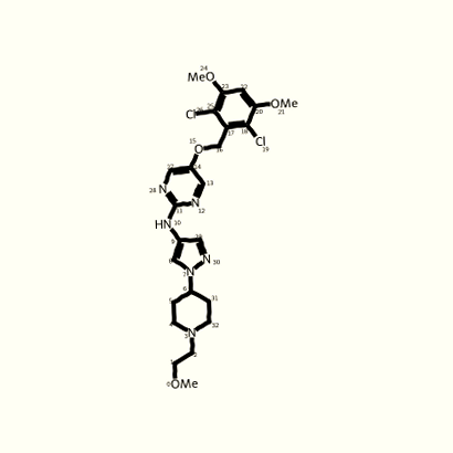 COCCN1CCC(n2cc(Nc3ncc(OCc4c(Cl)c(OC)cc(OC)c4Cl)cn3)cn2)CC1